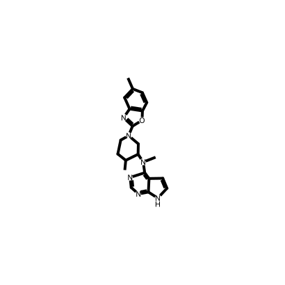 Cc1ccc2oc(N3CCC(C)C(N(C)c4ncnc5[nH]ccc45)C3)nc2c1